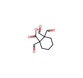 O=CC1(C=O)CCCCC1(C=O)C(=O)O